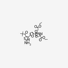 CCOC(=O)COP(=O)(NC(C)(C)C(=O)OCC)c1ccc(-c2nc(N)sc2C(=O)C(C)(C)C)o1